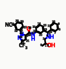 CC(O)CNC(c1ccccc1)c1cccc(NC(=O)c2cc(C(F)(F)F)nn2-c2cccc(C#N)c2)c1